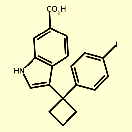 O=C(O)c1ccc2c(C3(c4ccc(I)cc4)CCC3)c[nH]c2c1